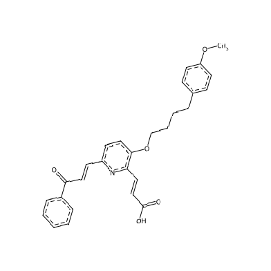 COc1ccc(CCCCOc2ccc(/C=C/C(=O)c3ccccc3)nc2/C=C/C(=O)O)cc1